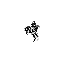 C=CC(=O)N1CC(C)N(c2nc(=O)n(-c3c(C(C)C)nc(CC)nc3C(C)C)c3nc(-c4ccccc4F)c(Cl)cc23)CC1C